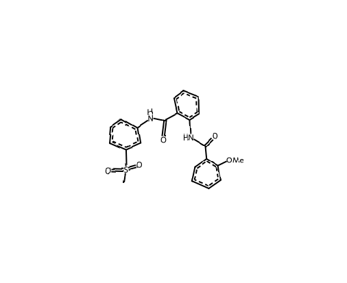 COc1ccccc1C(=O)Nc1ccccc1C(=O)Nc1cccc(S(C)(=O)=O)c1